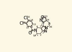 C[C@@H]1Cc2nn3c(c2CN1C(=O)c1ccc(Cl)c(Cl)c1)-c1nocc1CC3